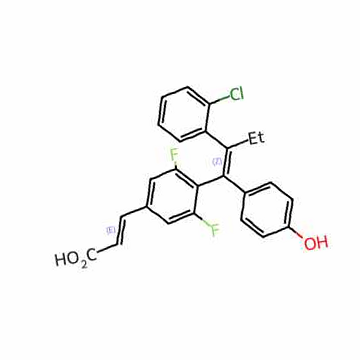 CC/C(=C(\c1ccc(O)cc1)c1c(F)cc(/C=C/C(=O)O)cc1F)c1ccccc1Cl